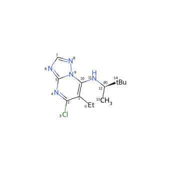 CCc1c(Cl)nc2ncnn2c1N[C@H](C)C(C)(C)C